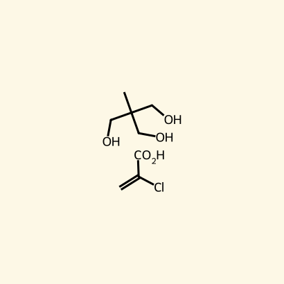 C=C(Cl)C(=O)O.CC(CO)(CO)CO